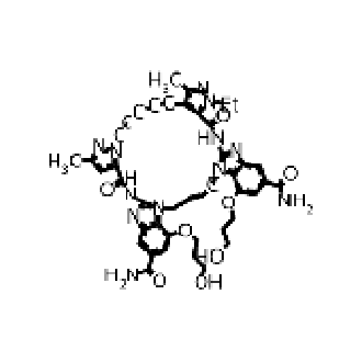 CCn1nc(C)c2c1C(=O)Nc1nc3cc(C(N)=O)cc(OCCCO)c3n1C/C=C/Cn1c(nc3cc(C(N)=O)cc(OCCCO)c31)NC(=O)c1cc(C)nn1CCCCC2